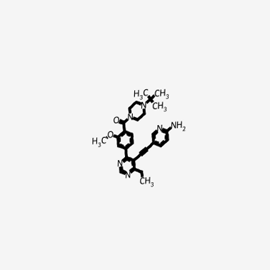 CCc1ncnc(-c2ccc(C(=O)N3CCN(C(C)(C)C)CC3)c(OC)c2)c1C#Cc1ccc(N)nc1